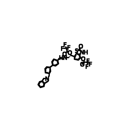 O=C(Oc1ccc([C@H](CNCCc2ccc(-c3cccc(CN4Cc5ccccc5C4)c3)cc2)OC(=O)C(F)(F)F)c2sc(=O)[nH]c12)C(F)(F)F